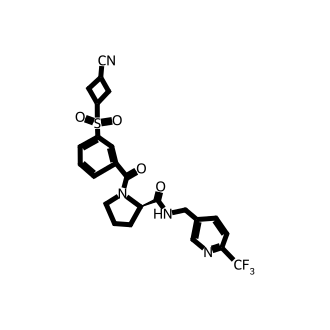 N#CC1CC(S(=O)(=O)c2cccc(C(=O)N3CCC[C@@H]3C(=O)NCc3ccc(C(F)(F)F)nc3)c2)C1